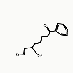 CCC=CC(O)CCCOC(=O)c1ccccc1